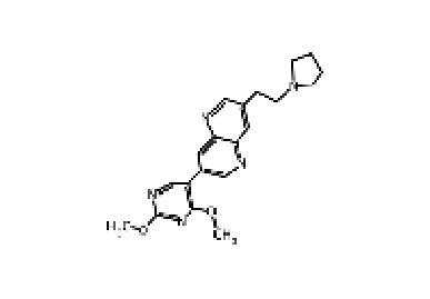 COc1ncc(-c2cnc3cc(CCN4CCCC4)cnc3c2)c(OC)n1